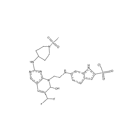 CS(=O)(=O)N1CCC(Nc2ncc3c(n2)N(CCNc2ccc4cc(S(=O)(=O)Cl)[nH]c4c2)C(O)C(C(F)F)=C3)CC1